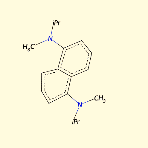 CC(C)N(C)c1cccc2c(N(C)C(C)C)cccc12